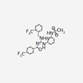 CS(=O)(=O)Nc1cccc(N/C(=N\C(=O)c2ccc(C(F)(F)F)cc2)NCc2ccccc2C(F)(F)F)n1